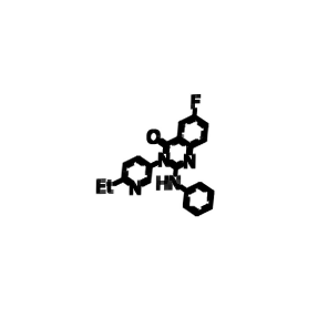 CCc1ccc(-n2c(Nc3ccccc3)nc3ccc(F)cc3c2=O)cn1